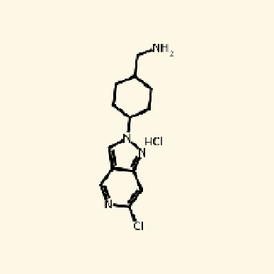 Cl.NCC1CCC(n2cc3cnc(Cl)cc3n2)CC1